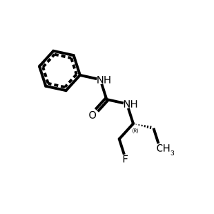 CC[C@H](CF)NC(=O)Nc1ccccc1